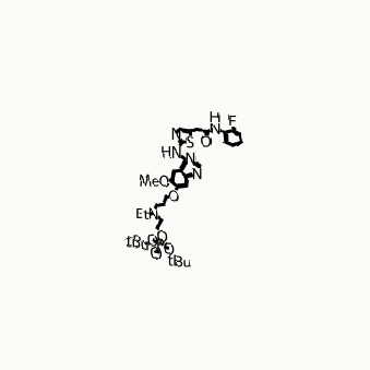 CCN(CCCOc1cc2ncnc(Nc3ncc(CC(=O)Nc4ccccc4F)s3)c2cc1OC)CCOP(=O)(OC(C)(C)C)OC(C)(C)C